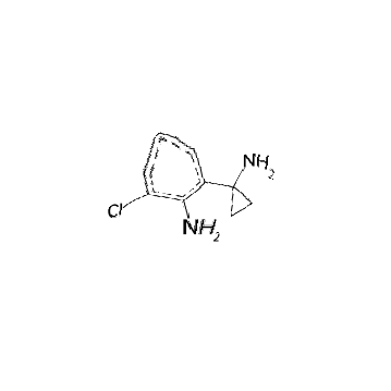 Nc1c(Cl)cccc1C1(N)CC1